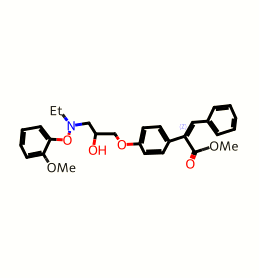 CCN(CC(O)COc1ccc(/C(=C/c2ccccc2)C(=O)OC)cc1)Oc1ccccc1OC